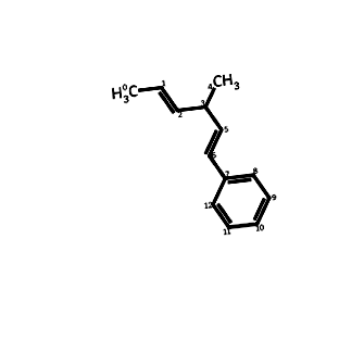 CC=CC(C)C=Cc1ccccc1